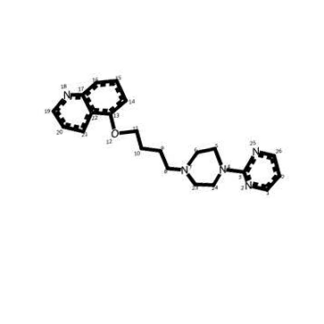 c1cnc(N2CCN(CCCCOc3cccc4ncccc34)CC2)nc1